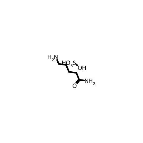 NCCCCC(N)=O.O=S(=O)(O)O